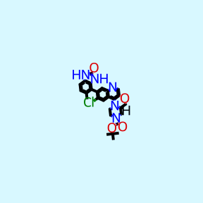 Cc1ccc2[nH]c(=O)[nH]c2c1-c1cc2ncc3c(c2cc1Cl)N1CCN(C(=O)OC(C)(C)C)C[C@@H]1CO3